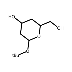 CC(C)(C)OC1CC(O)CC(CO)O1